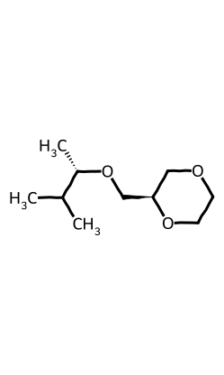 CC(C)[C@H](C)OC[C@H]1COCCO1